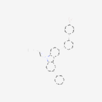 C/C=C/n1c2ccc(-c3ccccc3)cc2c2cc(-c3cccc(-c4ccc(Br)cc4)c3)ccc21